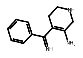 N=C(C1=C(N)CNCC1)c1ccccc1